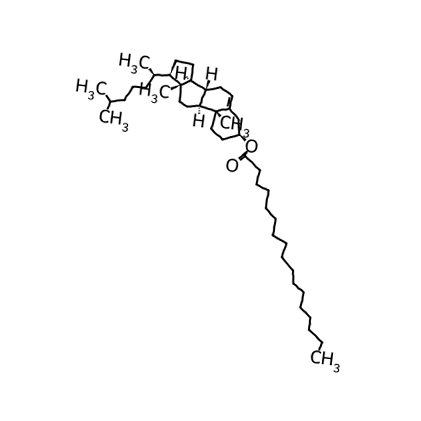 CCCCCCCCCCCCCCCCC(=O)O[C@H]1CC[C@@]2(C)C(=CC[C@H]3[C@@H]4CC[C@H]([C@H](C)CCCC(C)C)[C@@]4(C)CC[C@@H]32)C1